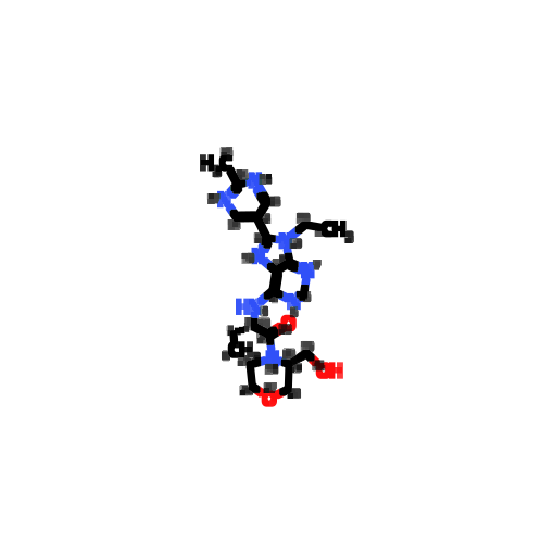 CC[C@H](Nc1ncnc2c1nc(-c1cnc(C)nc1)n2CC)C(=O)N1CCOC[C@@H]1CO